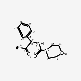 CC(C)C(=O)[C@H](NC(=O)N1CCOCC1)c1ccccc1